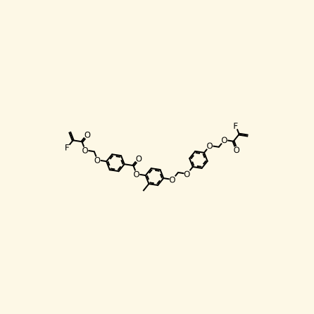 C=C(F)C(=O)OCOc1ccc(OCOc2ccc(OC(=O)c3ccc(OCOC(=O)C(=C)F)cc3)c(C)c2)cc1